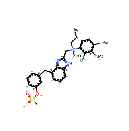 COc1ccc([N+](C=O)(CCC(C)C)Cc2nc3c(Cc4cccc(OS(C)(=O)=O)c4)cccc3[nH]2)c(Cl)c1OC